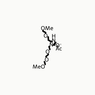 CC(=O)[O-].COCCOCCOCC[n+]1cc[nH]c1CCOCCOC